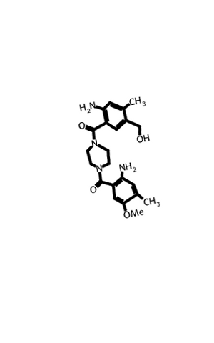 COc1cc(C(=O)N2CCN(C(=O)c3cc(CO)c(C)cc3N)CC2)c(N)cc1C